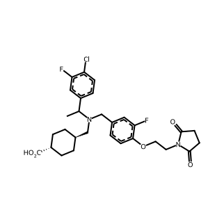 CC(c1ccc(Cl)c(F)c1)N(Cc1ccc(OCCN2C(=O)CCC2=O)c(F)c1)C[C@H]1CC[C@H](C(=O)O)CC1